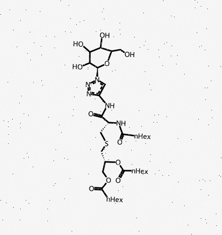 CCCCCCC(=O)N[C@H](CSC[C@@H](COC(=O)CCCCCC)OC(=O)CCCCCC)C(=O)Nc1cn([C@@H]2OC(CO)C(O)C(O)C2O)nn1